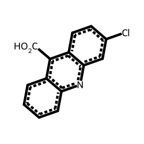 O=C(O)c1c2ccccc2nc2cc(Cl)ccc12